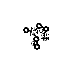 CC1(C)OB(c2cccc3c2oc2c(-c4nc(-c5ccccc5)nc(-c5ccc6c(c5)oc5ccccc56)n4)cccc23)OC1(C)C